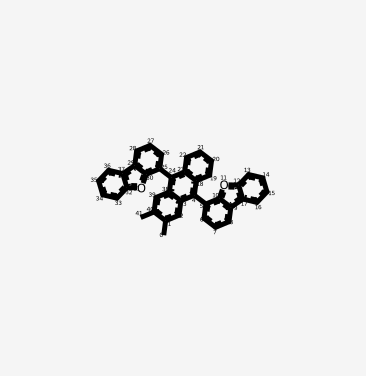 Cc1cc2c(-c3cccc4c3oc3ccccc34)c3ccccc3c(-c3cccc4c3oc3ccccc34)c2cc1C